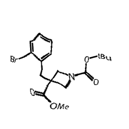 COC(=O)C1(Cc2ccccc2Br)CN(C(=O)OC(C)(C)C)C1